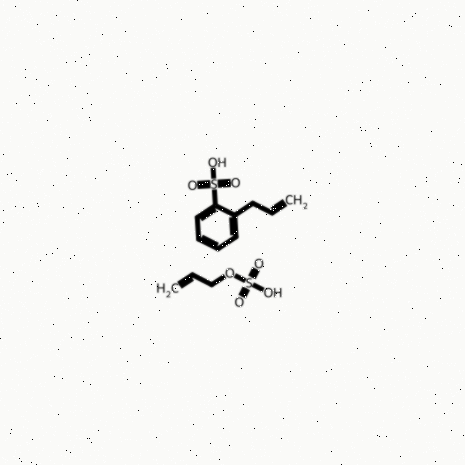 C=CCOS(=O)(=O)O.C=CCc1ccccc1S(=O)(=O)O